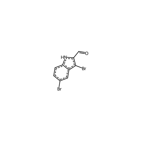 O=Cc1[nH]c2ccc(Br)cc2c1Br